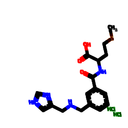 CSCCC(NC(=O)c1cccc(CNCc2c[nH]cn2)c1)C(=O)O.Cl.Cl